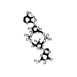 Nc1nc2c(ncn2[C@@H]2O[C@@H]3COP(=O)(S)O[C@H]4[C@H](F)[C@H](n5nnc6c(N)ccnc65)O[C@@H]4COP(=O)(S)O[C@@H]2[C@@H]3F)c(=O)[nH]1